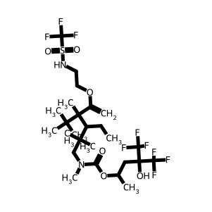 C=C(OCCNS(=O)(=O)C(F)(F)F)C(C)(C(CC)C(C)(C)CN(C)C(=O)OC(C)CC(O)(C(F)(F)F)C(F)(F)F)C(C)(C)C